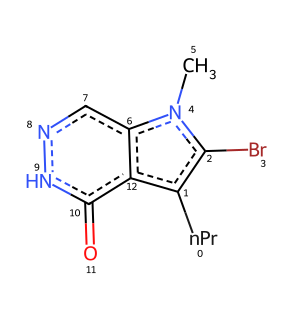 CCCc1c(Br)n(C)c2cn[nH]c(=O)c12